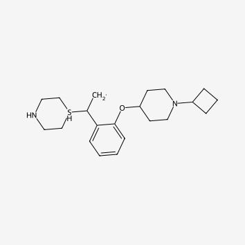 [CH2]C(c1ccccc1OC1CCN(C2CCC2)CC1)[SH]1CCNCC1